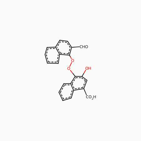 O=Cc1ccc2ccccc2c1OOc1c(O)cc(C(=O)O)c2ccccc12